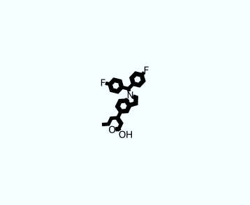 CCCC(=CC(=O)O)c1ccc2c(ccn2C(c2ccc(F)cc2)c2ccc(F)cc2)c1